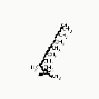 C/C=C\C=C1/CC(=C2CCC2)C(C/C=C(\C)CC/C=C(\C)CC/C=C(\C)CC/C=C(\C)CC/C=C(\C)CC/C=C(\C)CCC=C(C)C)=C(C)C1=O